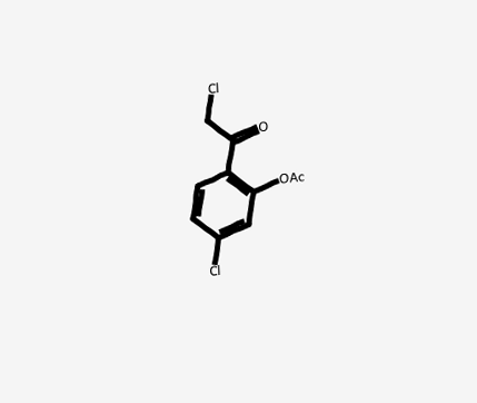 CC(=O)Oc1cc(Cl)ccc1C(=O)CCl